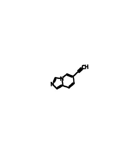 C#Cc1ccc2cncn2c1